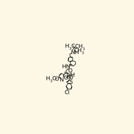 COc1ccc([C@@H](CC(=O)N[C@@H]2CCCc3cc(CNCC(C)(C)C)ccc32)NS(=O)(=O)c2cc3cc(Cl)ccc3s2)cn1